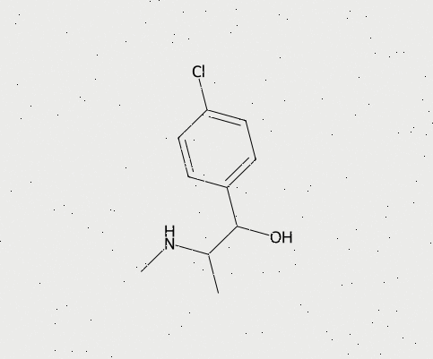 CNC(C)C(O)c1ccc(Cl)cc1